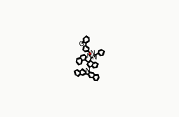 c1ccc(-c2nc(-c3ccc4oc5ccccc5c4c3)nc(-c3c(-c4cccc5ccccc45)cc(-n4c5cc6ccccc6cc5c5cc6ccccc6cc54)c4ccccc34)n2)cc1